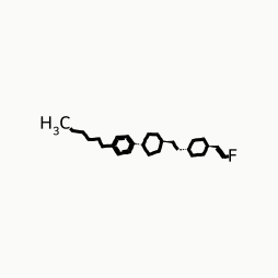 CCCCCCc1ccc([C@H]2CC[C@H](CC[C@H]3CC[C@H](C=CF)CC3)CC2)cc1